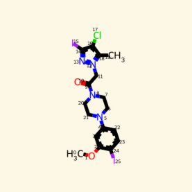 COc1cc(N2CCN(C(=O)Cn3nc(I)c(Cl)c3C)CC2)ccc1I